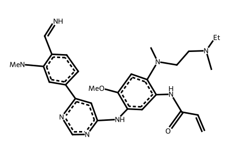 C=CC(=O)Nc1cc(Nc2cc(-c3ccc(C=N)c(NC)c3)ncn2)c(OC)cc1N(C)CCN(C)CC